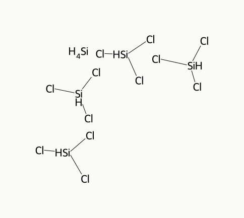 Cl[SiH](Cl)Cl.Cl[SiH](Cl)Cl.Cl[SiH](Cl)Cl.Cl[SiH](Cl)Cl.[SiH4]